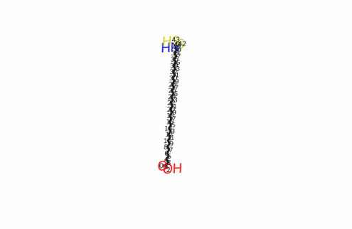 O=C(O)CCCCCCCCCCCCCCCCCCCCCCCCCCCCCCCCCCCCCNC(=S)S